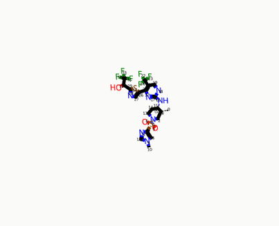 C[C@@H]1CN(S(=O)(=O)c2cn(C)cn2)CC[C@@H]1Nc1ncc(C(F)(F)F)c(-c2cnc(C(O)C(F)(F)F)s2)n1